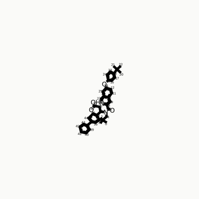 CC(C)(C)CN(C(=O)c1cc2ccc(Oc3ccc(C(C)(C)C)cc3)cc2cn1)C(CC(=O)O)c1ccc(-c2ccccc2)cc1